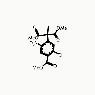 COC(=O)c1cc([N+](=O)[O-])c(C(C)(C(=O)OC)C(=O)OC)cc1Cl